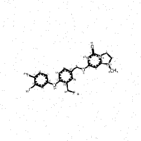 CN1CCn2c1cc(OCc1ccc(Oc3ccc(F)c(F)c3)c(CF)c1)nc2=O